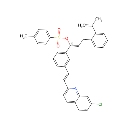 C=C(C)c1ccccc1CC[C@H](OS(=O)(=O)c1ccc(C)cc1)c1cccc(C=Cc2ccc3ccc(Cl)cc3n2)c1